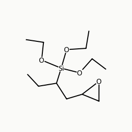 CCO[Si](OCC)(OCC)C(CC)CC1CO1